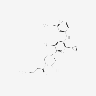 COCCC(=O)N1CCN(c2nc(C3CC3)c(Nc3ccnc(OC)c3)cc2C#N)C[C@H]1C